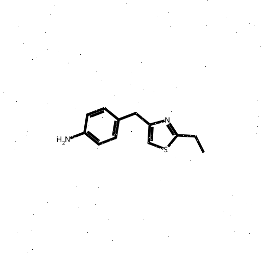 CCc1nc(Cc2ccc(N)cc2)cs1